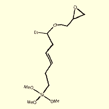 CCC(CC=CCC[Si](OC)(OC)OC)OCC1CO1